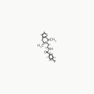 C[C@@H]1Cc2ccsc2[C@H](C)N1CCNC(=O)c1ccc(F)cc1